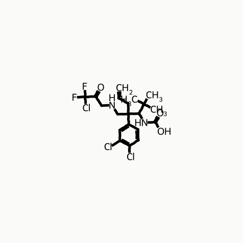 C=CCC(CNCC(=O)C(F)(F)Cl)(c1ccc(Cl)c(Cl)c1)C(NC(=O)O)C(C)(C)C